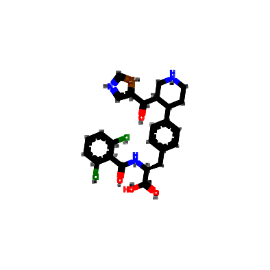 O=C(N[C@@H](Cc1ccc(C2CCNCC2C(=O)c2cncs2)cc1)C(=O)O)c1c(Cl)cccc1Cl